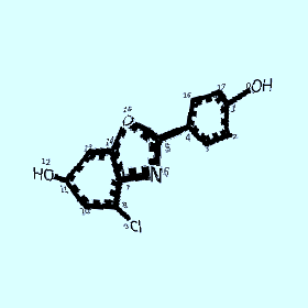 Oc1ccc(-c2nc3c(Cl)cc(O)cc3o2)cc1